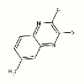 Cc1ccc2nc([S])c([S])nc2c1